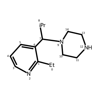 CCc1ncccc1C(C(C)C)N1CCNCC1